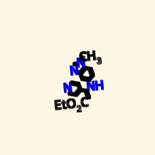 CCOC(=O)C=C(Nc1ccc2c(c1)ncn2C)c1ccncc1